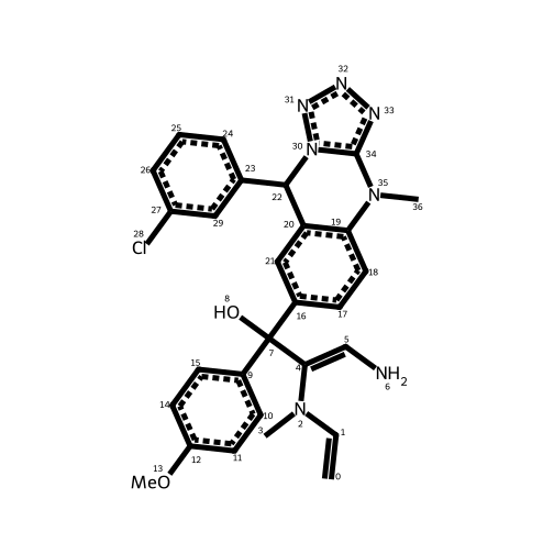 C=CN(C)/C(=C\N)C(O)(c1ccc(OC)cc1)c1ccc2c(c1)C(c1cccc(Cl)c1)n1nnnc1N2C